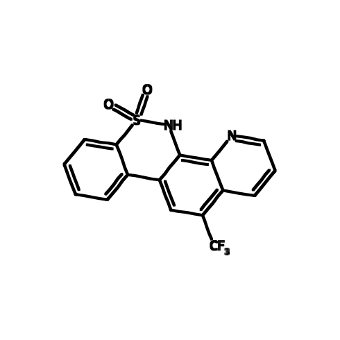 O=S1(=O)Nc2c(cc(C(F)(F)F)c3cccnc23)-c2ccccc21